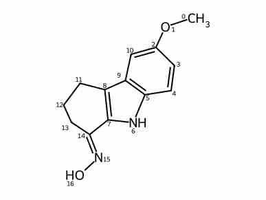 COc1ccc2[nH]c3c(c2c1)CCC/C3=N\O